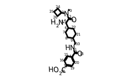 CN(C(=O)[C@@H](N)C1CCC(CNC(=O)c2ccc(C(=O)O)cc2)CC1)C1CCC1